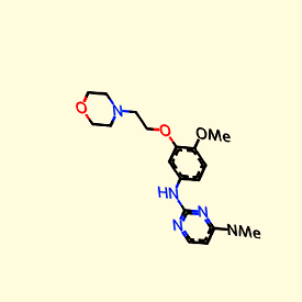 CNc1ccnc(Nc2ccc(OC)c(OCCN3CCOCC3)c2)n1